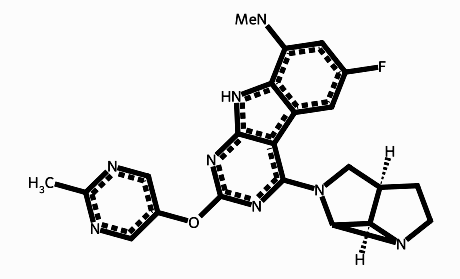 CNc1cc(F)cc2c1[nH]c1nc(Oc3cnc(C)nc3)nc(N3C[C@H]4CCN5C3[C@@H]45)c12